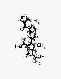 Cc1ncsc1C(=O)c1ncn2cc(C3=C(C(=O)O)N4C(=O)[C@H]([C@@H](C)O)[C@H]4[C@H]3C)sc12